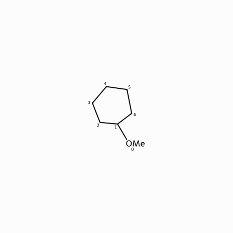 [C]OC1CCCCC1